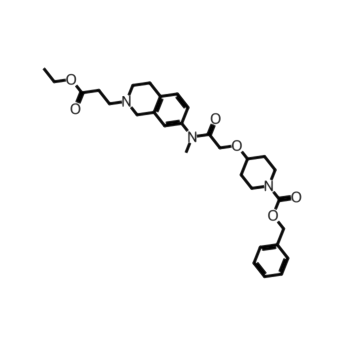 CCOC(=O)CCN1CCc2ccc(N(C)C(=O)COC3CCN(C(=O)OCc4ccccc4)CC3)cc2C1